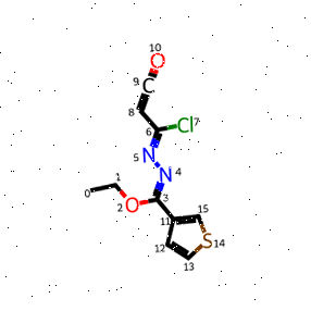 CCOC(=NN=C(Cl)C=C=O)c1ccsc1